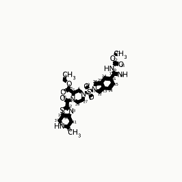 CCOC(=O)C1CN(S(=O)(=O)n2cc3ccc(C(=N)NC(=O)OC)cc3c2)CCN1C(=O)c1nc2c(s1)CNC(C)C2